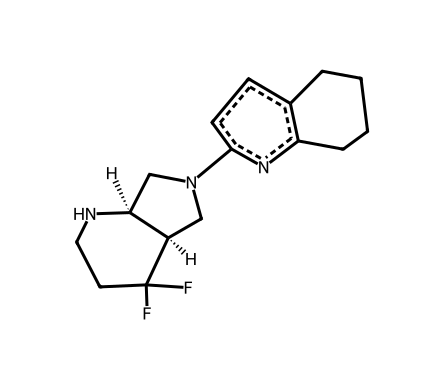 FC1(F)CCN[C@H]2CN(c3ccc4c(n3)CCCC4)C[C@H]21